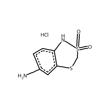 Cl.Nc1ccc2c(c1)SCS(=O)(=O)N2